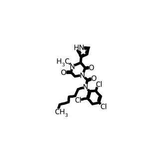 CCCCCCN(C(=O)N1CC(=O)N(C)C(c2cc[nH]c2)C1=O)C1=C(Cl)CC(Cl)=CC1Cl